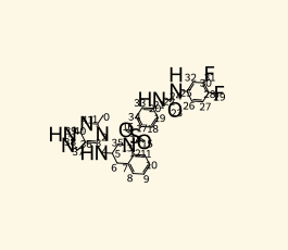 Cc1nc(NC2Cc3ccccc3N(S(=O)(=O)c3ccc(NC(=O)Nc4ccc(F)c(F)c4)cc3)C2)c2cn[nH]c2n1